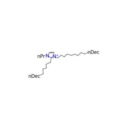 CCCCCCCCCCCCCCCCCCC[n+]1ccn(CCC)c1CCCCCCCCCCCCCCC